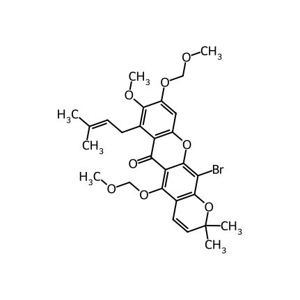 COCOc1cc2oc3c(Br)c4c(c(OCOC)c3c(=O)c2c(CC=C(C)C)c1OC)C=CC(C)(C)O4